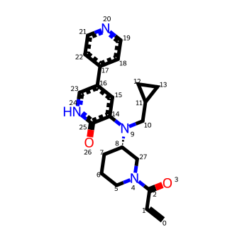 C=CC(=O)N1CCC[C@H](N(CC2CC2)c2cc(-c3ccncc3)c[nH]c2=O)C1